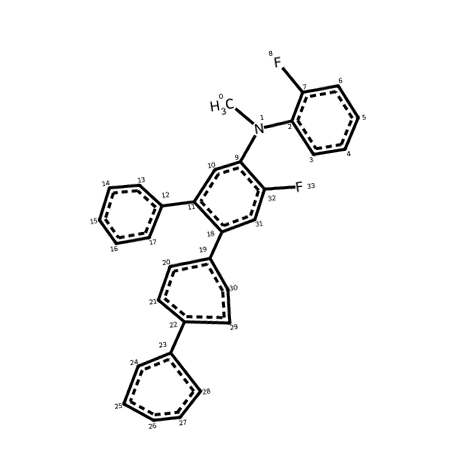 CN(c1ccccc1F)c1cc(-c2ccccc2)c(-c2ccc(-c3ccccc3)cc2)cc1F